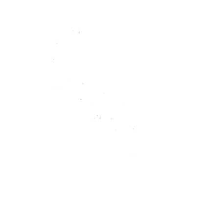 Cc1ccc(-c2nc(CCC(=O)c3ccc(Br)s3)c(C)o2)cc1